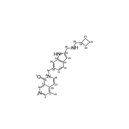 Cc1cncc2c(=O)n(Cc3ccc4cc(CNCC5CCC5)[nH]c4c3)ccc12